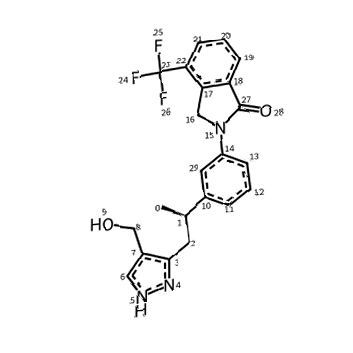 C[C@H](Cc1n[nH]cc1CO)c1cccc(N2Cc3c(cccc3C(F)(F)F)C2=O)c1